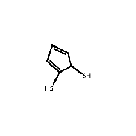 S[C]1C=CC=C1S